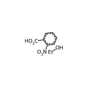 CCO.O=C(O)c1ccccc1[N+](=O)[O-]